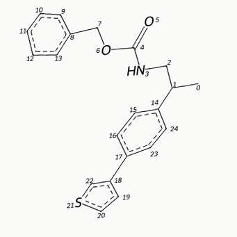 CC(CNC(=O)OCc1ccccc1)c1ccc(-c2ccsc2)cc1